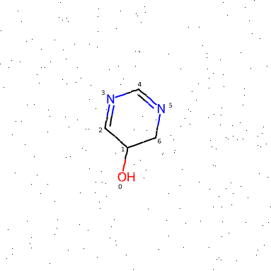 OC1C=NC=NC1